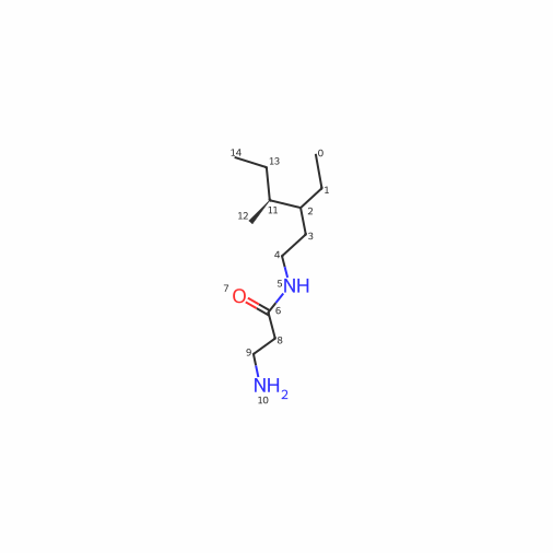 CCC(CCNC(=O)CCN)[C@@H](C)CC